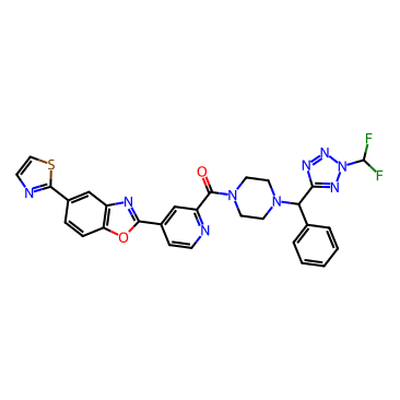 O=C(c1cc(-c2nc3cc(-c4nccs4)ccc3o2)ccn1)N1CCN(C(c2ccccc2)c2nnn(C(F)F)n2)CC1